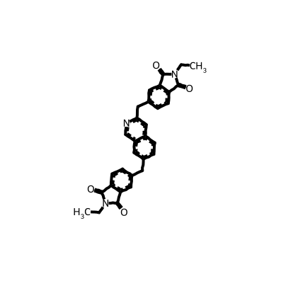 CCN1C(=O)c2ccc(Cc3ccc4cc(Cc5ccc6c(c5)C(=O)N(CC)C6=O)ncc4c3)cc2C1=O